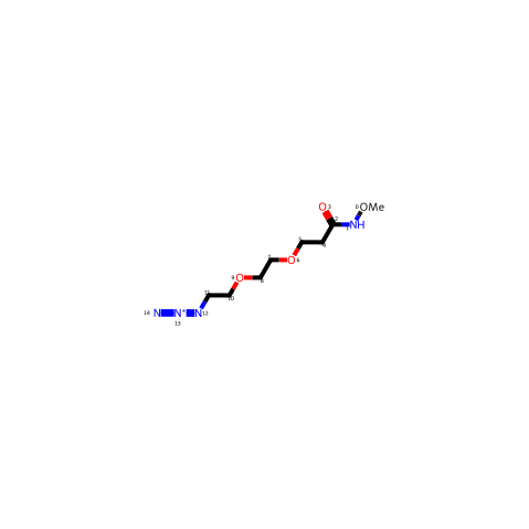 CONC(=O)CCOCCOCCN=[N+]=[N-]